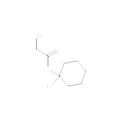 CC(C)CC(=O)OC1(C(C)C)CCCCC1